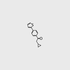 O=C(CC1CC1)c1ccc(-c2cccs2)cc1